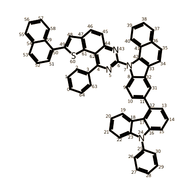 c1ccc(-c2nc(-n3c4ccc(-c5cccc6c5c5ccccc5n6-c5ccccc5)cc4c4ccc5ccccc5c43)nc3ccc4cc(-c5cccc6ccccc56)sc4c23)cc1